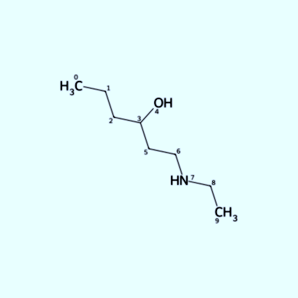 CCCC(O)CCNCC